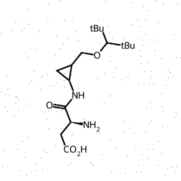 CC(C)(C)C(OCC1CC1NC(=O)[C@@H](N)CC(=O)O)C(C)(C)C